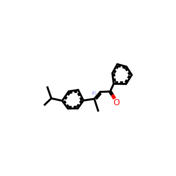 C/C(=C\C(=O)c1ccccc1)c1ccc(C(C)C)cc1